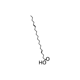 CCCCC=CCCCCCCCCCC=CCCC(=O)O